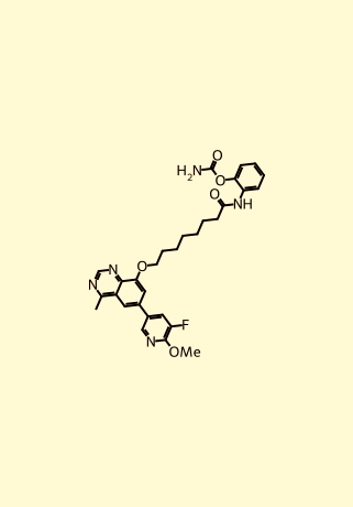 COc1ncc(-c2cc(OCCCCCCCC(=O)Nc3ccccc3OC(N)=O)c3ncnc(C)c3c2)cc1F